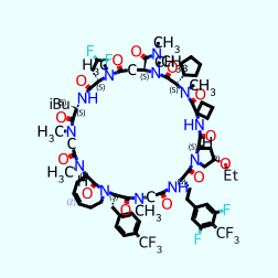 CCO[C@@H]1C[C@H]2C(=O)NC3(CCC3)C(=O)N(C)[C@@H](C3CCCC3)C(=O)N(C)[C@H](C(=O)N(C)C)CC(=O)N(C)[C@@H](CC(F)F)C(=O)N[C@@H]([C@@H](C)CC)C(=O)N(C)CC(=O)N(C)[C@H]3C/C=C\CCN(C3=O)[C@@H](Cc3ccc(C(F)(F)F)cc3)C(=O)N(C)CC(=O)N[C@@H](CCc3cc(F)c(C(F)(F)F)c(F)c3)C(=O)N2C1